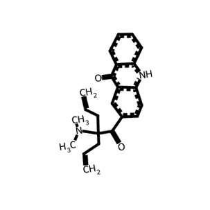 C=CCC(CC=C)(C(=O)c1ccc2[nH]c3ccccc3c(=O)c2c1)N(C)C